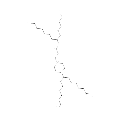 CCCCCCCC(CCCCCC)NCCCC1CCN(C(CCCCCCC)CCCCCCC)CC1